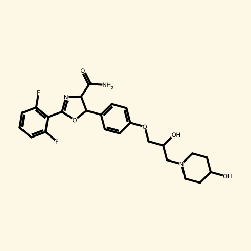 NC(=O)C1N=C(c2c(F)cccc2F)OC1c1ccc(OCC(O)CN2CCC(O)CC2)cc1